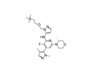 Cc1cnn(C)c1-c1cc(N2CCOC[C@H]2C)nc(Nc2ccnn2COCC[Si](C)(C)C)c1F